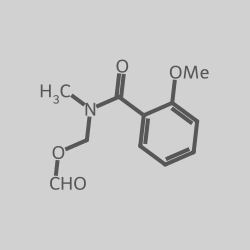 COc1ccccc1C(=O)N(C)COC=O